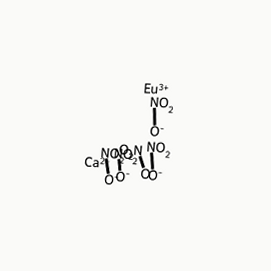 O=[N+]([O-])[O-].O=[N+]([O-])[O-].O=[N+]([O-])[O-].O=[N+]([O-])[O-].O=[N+]([O-])[O-].[Ca+2].[Eu+3]